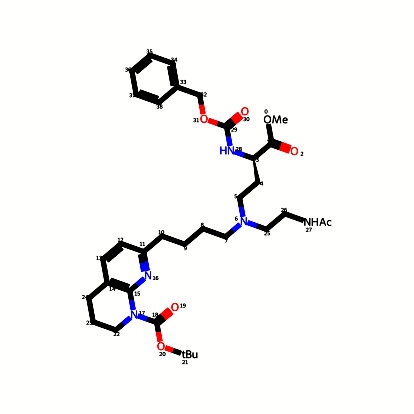 COC(=O)[C@@H](CCN(CCCCc1ccc2c(n1)N(C(=O)OC(C)(C)C)CCC2)CCNC(C)=O)NC(=O)OCc1ccccc1